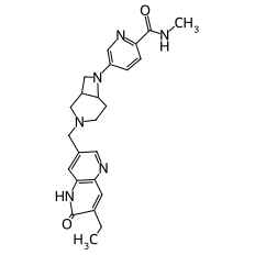 CCc1cc2ncc(CN3CCC4C(C3)CN4c3ccc(C(=O)NC)nc3)cc2[nH]c1=O